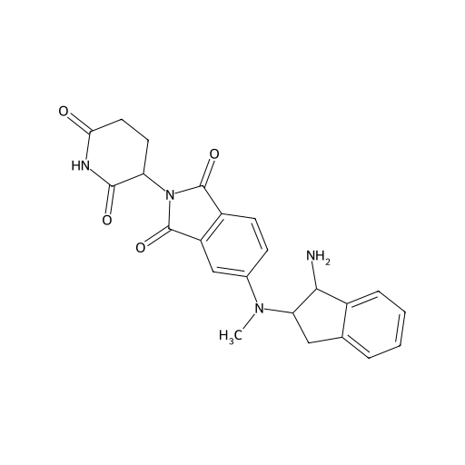 CN(c1ccc2c(c1)C(=O)N(C1CCC(=O)NC1=O)C2=O)C1Cc2ccccc2C1N